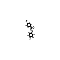 CSc1ccc(C(=O)CSc2ccc(Cl)cc2)cc1